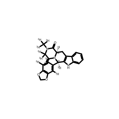 [2H]c1c([2H])c([C@]2([2H])c3[nH]c4ccccc4c3C[C@@H]3C(=O)N(C([2H])([2H])[2H])C([2H])([2H])C(=O)N32)c([2H])c2c1OCO2